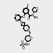 CC(C)N(C(=O)c1cc(F)ccc1Oc1cncnc1N1CC2(CCN(C[C@@H]3CC[C@@H](NS(C)(=O)=O)CO3)CC2)C1)[C@@H]1CCOC1